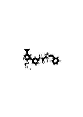 CCOc1ncc(C2CC2)cc1-c1ccnc(NC(=O)c2nnc(Cc3ccccc3)[nH]2)c1